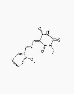 CCN1C(=O)/C(=C\C=C\c2ccccc2OC)C(=O)NC1=S